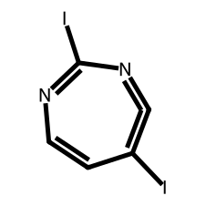 IC1=C=NC(I)=NC=C1